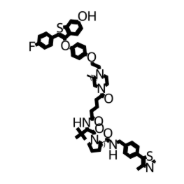 Cc1ncsc1-c1ccc(CNC(=O)[C@@H]2CCCN2C(=O)C(NC(=O)CCCC(=O)N2CCN(CCOc3ccc(Oc4c(-c5ccc(F)cc5)sc5cc(O)ccc45)cc3)[C@H](C)C2)C(C)(C)C)cc1